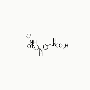 O=C(O)NCCc1ccc(NC2CCN(C(=O)NCC3CCCC3)CC2)cc1